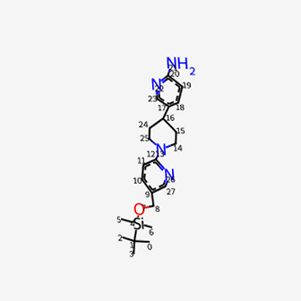 CC(C)(C)[Si](C)(C)OCc1ccc(N2CCC(c3ccc(N)nc3)CC2)nc1